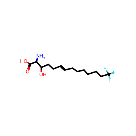 NC(C(=O)O)C(O)CC/C=C/CCCCCCC(F)(F)F